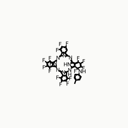 Cc1ccc(NC2(F)C(F)=C(F)C(F)=c3c2c2[nH]/c3=N\C3=NC(=N\c4[nH]c(c5c(F)c(F)c(F)c(F)c45)/N=C4\N=C(N2)c2c(F)c(F)c(F)c(F)c24)/c2c3cc(F)c(F)c2F)cc1